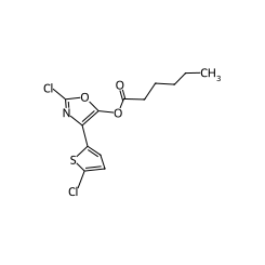 CCCCCC(=O)Oc1oc(Cl)nc1-c1ccc(Cl)s1